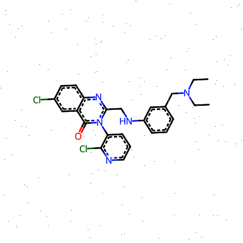 CCN(CC)Cc1cccc(NCc2nc3ccc(Cl)cc3c(=O)n2-c2cccnc2Cl)c1